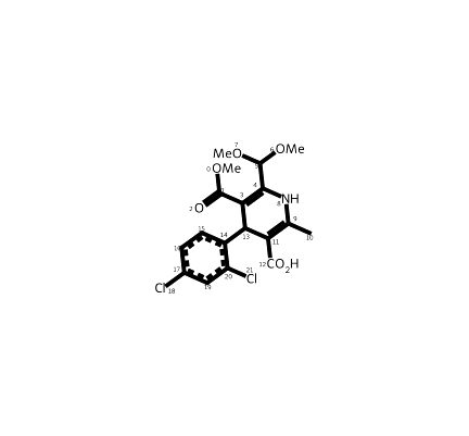 COC(=O)C1=C(C(OC)OC)NC(C)=C(C(=O)O)C1c1ccc(Cl)cc1Cl